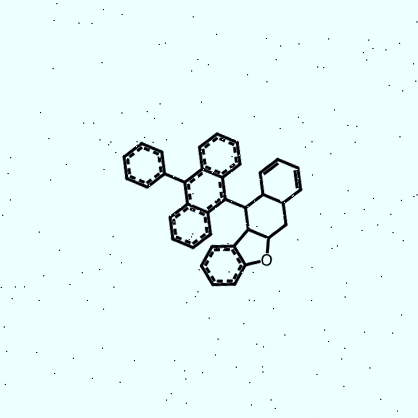 C1=CC2CC3Oc4ccccc4C3C(c3c4ccccc4c(-c4ccccc4)c4ccccc34)C2C=C1